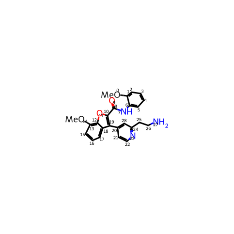 COc1ccccc1NC(=O)c1oc2c(OC)cccc2c1-c1ccnc(CCN)c1